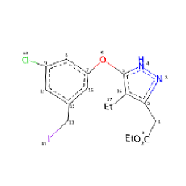 CCOC(=O)Cc1n[nH]c(Oc2cc(Cl)cc(CI)c2)c1CC